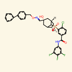 C[C@H]1C[C@H]2C[C@](O)(/C=N/OCc3ccc(-c4ccccc4)cc3)CC1C2S(=O)(=O)c1cc(C(=O)Nc2cc(F)c(F)c(F)c2)ccc1Cl